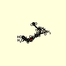 CCc1c2c(nc3ccc(O)cc13)-c1cc3c(c(=O)n1C2)COC(=O)[C@@]3(CC)OC(=O)OCc1ccc(NC(=O)[C@H](CCCNC(N)=O)NC(=O)C(NC(=O)CCCCCN2C(=O)C=CC2=O)C(C)C)cc1